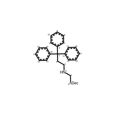 CCCCCCCCCCCNCCC(c1ccccc1)(c1ccccc1)c1ccccc1